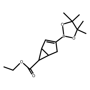 CCOC(=O)C1C2C=C(B3OC(C)(C)C(C)(C)O3)CC21